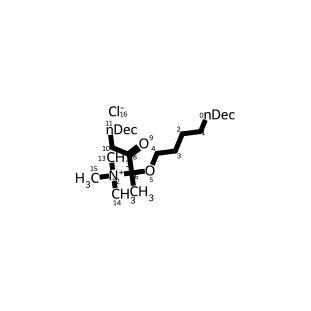 CCCCCCCCCCCCCCOC(C)(C(=O)CCCCCCCCCCC)[N+](C)(C)C.[Cl-]